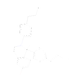 CC(C)CCc1ccc(N2CCc3cc(O)ccc3C2(C)c2ccc(/C=C/C(=O)O)cc2)cc1